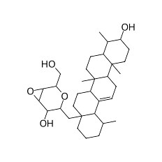 CC1CCCC2(CC3OC(CO)C4OC4C3O)CCC3C(=CCC4C3(C)CCC3C(C)C(O)CCC34C)C12